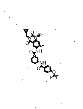 CC(C)n1c(=O)n(CC2CC2)c(=O)c2cc(NC(=O)N3CCC[C@@H](NC(=O)c4ccc(OC(F)F)cc4)C3)c(F)cc21